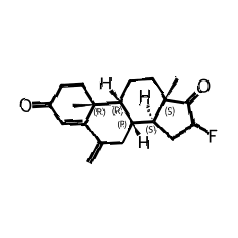 C=C1C[C@@H]2[C@@H](CC[C@]3(C)C(=O)C(F)C[C@@H]23)[C@@]2(C)CCC(=O)C=C12